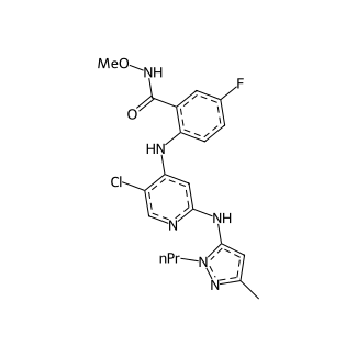 CCCn1nc(C)cc1Nc1cc(Nc2ccc(F)cc2C(=O)NOC)c(Cl)cn1